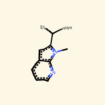 CCCCCCC(CC)c1cc2cccnc2n1C